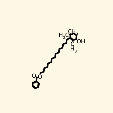 CC1=C(CCCCCCCCCCCCCCCOC(=O)c2ccccc2)C(C)(C)CCC1O